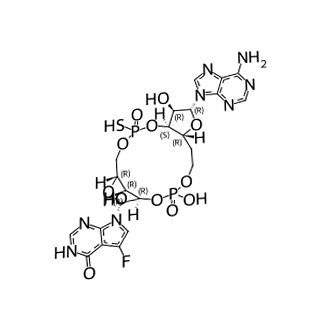 Nc1ncnc2c1ncn2[C@@H]1O[C@@H]2CCOP(=O)(O)O[C@@H]3[C@H](O)[C@@H](COP(=O)(S)O[C@H]2[C@H]1O)O[C@H]3n1cc(F)c2c(=O)[nH]cnc21